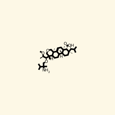 CO[C@H](C)[C@H](OCC(C)(N)C(C)C)C1(C)COC[C@@]2(C)C3=CC[C@@]4(C)[C@H](C(=O)O)[C@@](C)([C@H](C)C(C)C)CC[C@]4(C)[C@H]3CC[C@@H]12